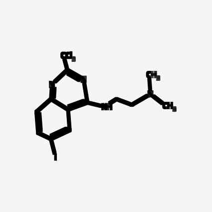 CN(C)CCNc1nc(C(Cl)(Cl)Cl)nc2ccc(I)cc12